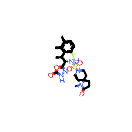 Cc1ccc(F)c(C(C)[C@H](NS(=O)(=O)N2CCC3(CCC(=O)N3C)CC2)c2n[nH]c(=O)o2)c1C